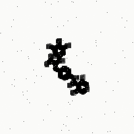 O=C(Nc1ccc(CC(Nc2cc(Cl)c(Cl)c(Cl)c2)C(=O)O)cc1)c1c(Cl)cncc1Cl